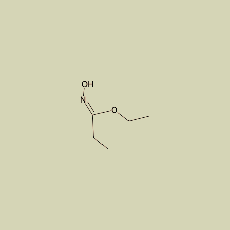 CCO/C(CC)=N\O